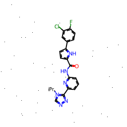 CC(C)n1cnnc1-c1cccc(NC(=O)c2ccc(-c3ccc(F)c(Cl)c3)[nH]2)n1